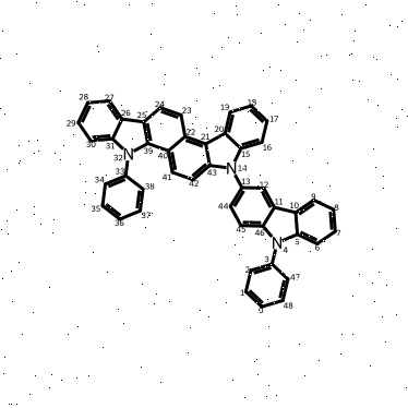 c1ccc(-n2c3ccccc3c3cc(-n4c5ccccc5c5c6ccc7c8ccccc8n(-c8ccccc8)c7c6ccc54)ccc32)cc1